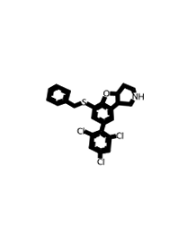 Clc1cc(Cl)c(-c2cc(SCc3ccccc3)c3c(c2)C2CNCCC2O3)c(Cl)c1